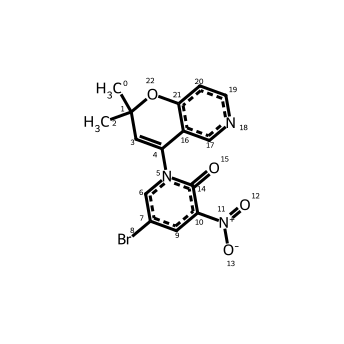 CC1(C)C=C(n2cc(Br)cc([N+](=O)[O-])c2=O)c2cnccc2O1